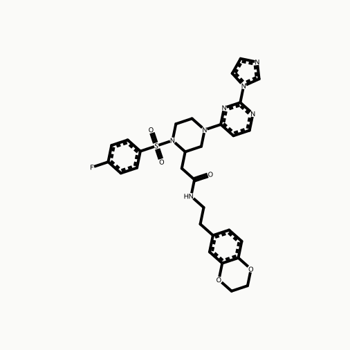 O=C(CC1CN(c2ccnc(-n3ccnc3)n2)CCN1S(=O)(=O)c1ccc(F)cc1)NCCc1ccc2c(c1)OCCO2